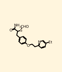 CCc1ccc(CCOc2ccc(CC(SC=O)C(N)=O)cc2)nc1